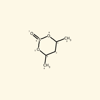 CC1CC(C)OS(=O)O1